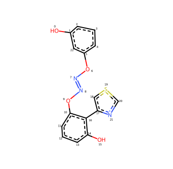 Oc1cccc(ON=NOc2cccc(O)c2-c2cscn2)c1